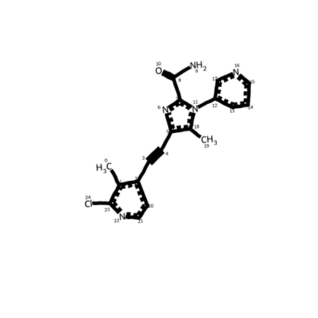 Cc1c(C#Cc2nc(C(N)=O)n(-c3cccnc3)c2C)ccnc1Cl